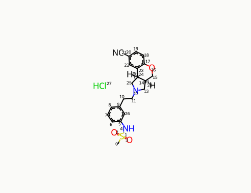 CS(=O)(=O)Nc1cccc(CCN2C[C@@H]3COc4ccc(C#N)cc4[C@H]3C2)c1.Cl